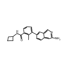 Cc1c(C(=O)NC2CCC2)cccc1-c1ccc2cc(N)ncc2c1